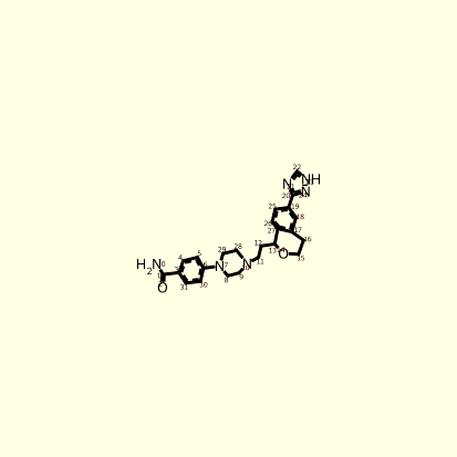 NC(=O)c1ccc(N2CCN(CCC3OCCc4cc(-c5nc[nH]n5)ccc43)CC2)cc1